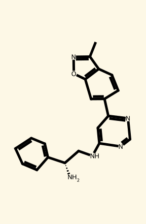 Cc1noc2cc(-c3cc(NC[C@H](N)c4ccccc4)ncn3)ccc12